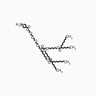 CCCCCCCCC(CCCCCC)C(=O)OCCCCCCOCC(OCCCCCCOC(=O)C(CCCCCC)CCCCCCCC)C(=O)N(CCCCCCCC)CCOCCOCCOCCOCCOC(=O)C1CCN(C)CC1